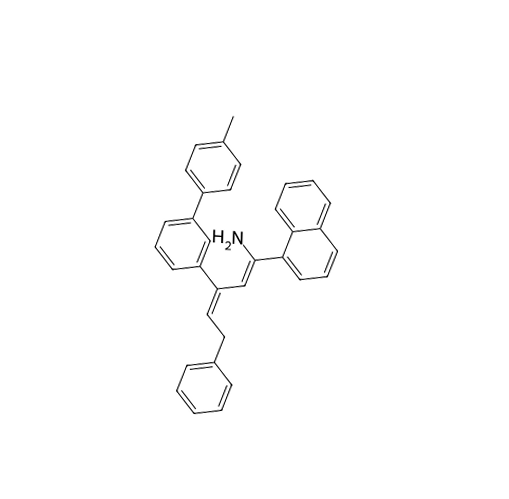 Cc1ccc(-c2cccc(C(/C=C(\N)c3cccc4ccccc34)=C/Cc3ccccc3)c2)cc1